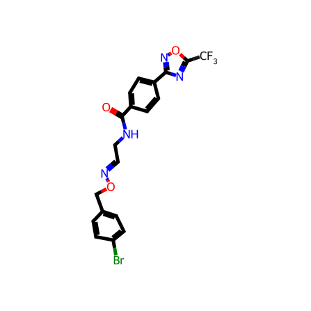 O=C(NCC=NOCc1ccc(Br)cc1)c1ccc(-c2noc(C(F)(F)F)n2)cc1